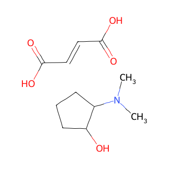 CN(C)C1CCCC1O.O=C(O)C=CC(=O)O